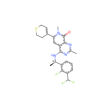 Cc1nc(N[C@H](C)c2cccc(C(F)F)c2F)c2cc(C3=CCSCC3)n(C)c(=O)c2n1